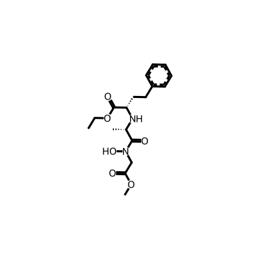 CCOC(=O)[C@H](CCc1ccccc1)N[C@@H](C)C(=O)N(O)CC(=O)OC